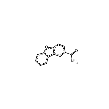 NC(=O)c1ccc2oc3ccccc3c2c1